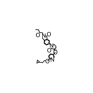 CCC(=O)CN1Cc2ccc(N3CC[C@@H](Oc4ccc(OCCC5CC5)nc4)C3=O)cc2C1=O